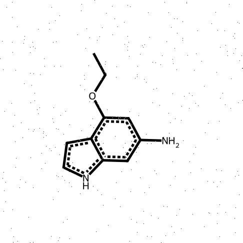 CCOc1cc(N)cc2[nH]ccc12